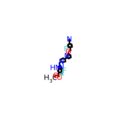 COC(=O)c1cc2[nH]c(CN3CCC(c4cccc(OCc5ccc(C#N)cc5F)n4)CC3)nc2c(F)c1F